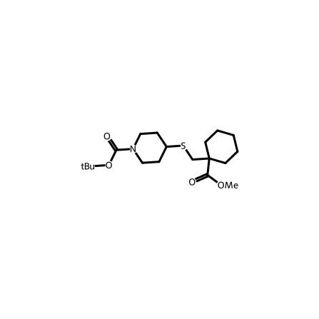 COC(=O)C1(CSC2CCN(C(=O)OC(C)(C)C)CC2)CCCCC1